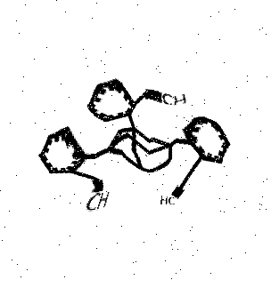 C#Cc1ccccc1C12CC3CC(c4ccccc4C#C)(C1)CC(c1ccccc1C#C)(C3)C2